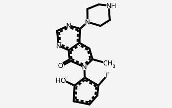 Cc1cc2c(N3CCNCC3)ncnc2c(=O)n1-c1c(O)cccc1F